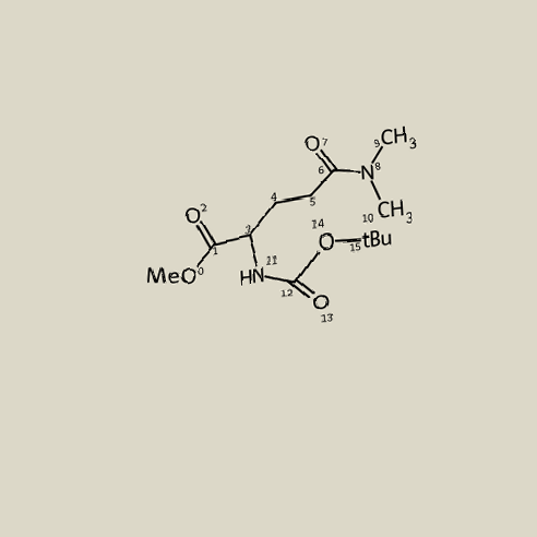 COC(=O)C(CCC(=O)N(C)C)NC(=O)OC(C)(C)C